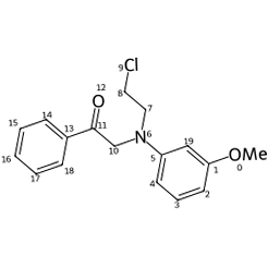 COc1cccc(N(CCCl)CC(=O)c2ccccc2)c1